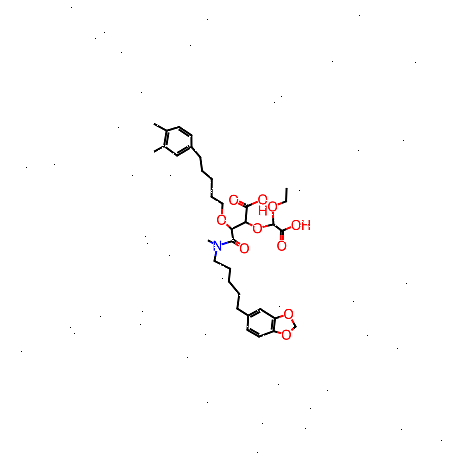 CCOC(OC(C(=O)O)C(OCCCCCc1ccc(C)c(C)c1)C(=O)N(C)CCCCCc1ccc2c(c1)OCO2)C(=O)O